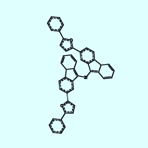 C1=CC2=[C]([Zr][C]3=C4C=CC=CC4c4ccc(-c5ccc(-c6ccccc6)o5)cc43)c3cc(-c4ccc(-c5ccccc5)o4)ccc3C2C=C1